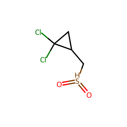 O=[SH](=O)CC1CC1(Cl)Cl